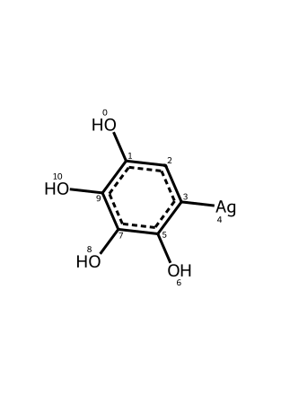 Oc1c[c]([Ag])c(O)c(O)c1O